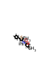 Cc1sc(-c2ccccc2)cc1N(C(=O)[C@H]1CC[C@@H](C)CO1)C(C)C